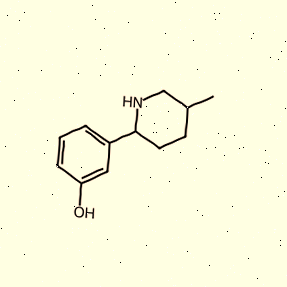 CC1CCC(c2cccc(O)c2)NC1